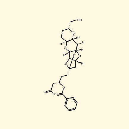 C=C(Br)C[C@H](CC[C@@]12C[C@H]3O[C@H]4[C@@H](O1)[C@H]1O[C@@H](CC=O)CC[C@@H]1O[C@H]4C3O2)OC(=O)c1ccccc1